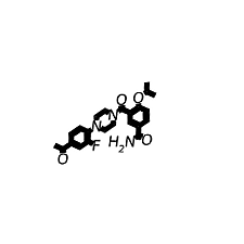 CC(=O)c1ccc(N2CCN(C(=O)c3cc(C(N)=O)ccc3OC(C)C)CC2)c(F)c1